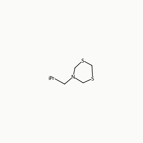 CC(C)CN1CSCSC1